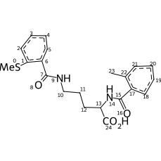 CSc1ccccc1C(=O)NCCCC(NC(=O)c1ccccc1C)C(=O)O